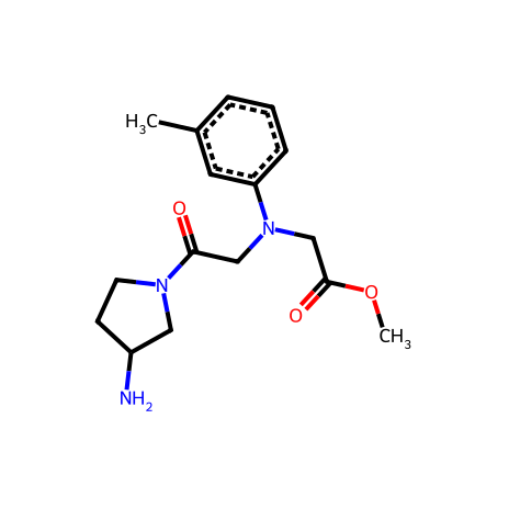 COC(=O)CN(CC(=O)N1CCC(N)C1)c1cccc(C)c1